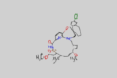 COCCC1C(C)C/C=C/C(OC)C2CCC2CN2C[C@@]3(CCCc4cc(Cl)ccc43)COc3ccc(nc32)C(=O)N[S+]1[O-]